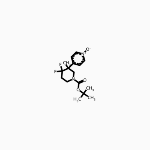 CC(C)(C)OC(=O)N1CCC(F)(F)C(C)(c2cc[n+]([O-])cc2)C1